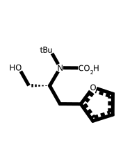 CC(C)(C)N(C(=O)O)[C@@H](CO)Cc1ccco1